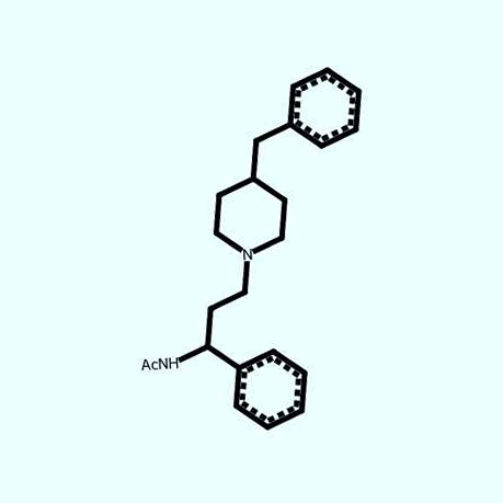 CC(=O)NC(CCN1CCC(Cc2ccccc2)CC1)c1ccccc1